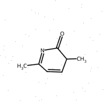 CC1=NC(=O)C(C)C=C1